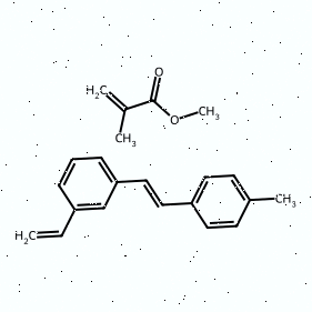 C=C(C)C(=O)OC.C=Cc1cccc(C=Cc2ccc(C)cc2)c1